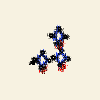 O=C([O-])c1c(S(=O)(=O)[O-])ccc2c3nc4nc(nc5[nH]c(nc6nc(nc([nH]3)c12)-c1ccccc1-6)c1ccccc51)-c1ccccc1-4.O=C([O-])c1c(S(=O)(=O)[O-])ccc2c3nc4nc(nc5[nH]c(nc6nc(nc([nH]3)c12)-c1ccccc1-6)c1ccccc51)-c1ccccc1-4.O=C([O-])c1c(S(=O)(=O)[O-])ccc2c3nc4nc(nc5[nH]c(nc6nc(nc([nH]3)c12)-c1ccccc1-6)c1ccccc51)-c1ccccc1-4.[Al+3].[Al+3]